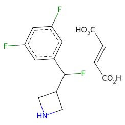 Fc1cc(F)cc(C(F)C2CNC2)c1.O=C(O)C=CC(=O)O